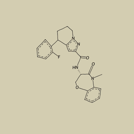 CN1C(=O)[C@@H](NC(=O)c2cc3n(n2)CCCC3c2ccccc2F)COc2ccccc21